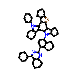 c1ccc(-c2nc(-c3ccc(-n4c5ccccc5c5c6sc7ccccc7c6c6c(c7ccccc7n6-c6ccccc6)c54)c4ccccc34)nc3ccccc23)cc1